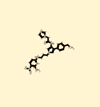 CCc1ccc(-c2cn(CCCNc3ccc([N+](=O)[O-])c(N)n3)cc2NC(=O)Cn2ccnc2)cc1